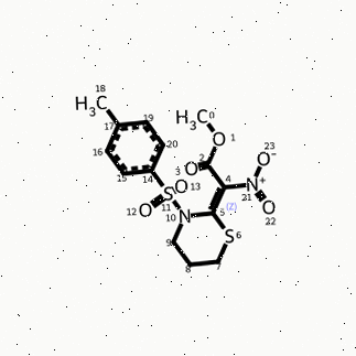 COC(=O)/C(=C1/SCCCN1S(=O)(=O)c1ccc(C)cc1)[N+](=O)[O-]